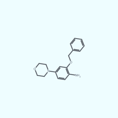 Nc1ccc(N2CCOCC2)cc1OCc1ccccc1